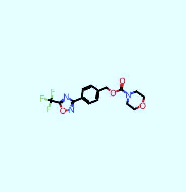 O=C(OCc1ccc(-c2noc(C(F)(F)F)n2)cc1)N1CCOCC1